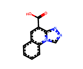 O=C(O)c1cc2ccccc2n2cnnc12